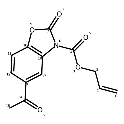 C=CCOC(=O)n1c(=O)oc2ccc(C(C)=O)cc21